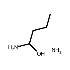 CCCC(N)O.N